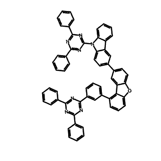 c1ccc(-c2nc(-c3ccccc3)nc(-c3cccc(-c4cccc5oc6ccc(-c7ccc8c(c7)c7ccccc7n8-c7nc(-c8ccccc8)nc(-c8ccccc8)n7)cc6c45)c3)n2)cc1